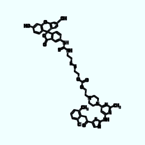 Cc1nc(Nc2ncc(C(=O)Cc3c(C)cccc3Cl)s2)cc(N2CCN(CCOC(=O)OCCSSCCNC(=S)Nc3ccc4c(c3)C(=O)OC43c4ccc(O)cc4Oc4cc(O)ccc43)CC2)n1